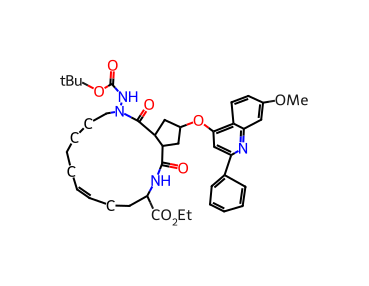 CCOC(=O)C1CCC=CCCCCCN(NC(=O)OC(C)(C)C)C(=O)C2CC(Oc3cc(-c4ccccc4)nc4cc(OC)ccc34)CC2C(=O)N1